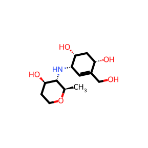 C[C@H]1OCC[C@@H](O)[C@@H]1N[C@H]1C=C(CO)[C@@H](O)C[C@H]1O